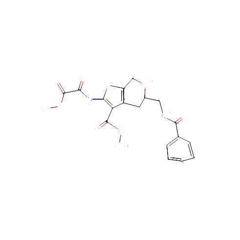 CC(C)(C)OC(=O)C(=O)Nc1sc2c(c1C(=O)OC(C)(C)C)CC(CNC(=O)c1ccccc1)OC2